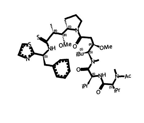 CC[C@H](C)[C@@H]([C@@H](CC(=O)N1CCC[C@H]1[C@H](OC)[C@@H](C)C(=S)N[C@@H](Cc1ccccc1)c1nccs1)OC)N(C)C(=O)[C@@H](NC(=O)[C@H](C(C)C)N(C)C(C)=O)C(C)C